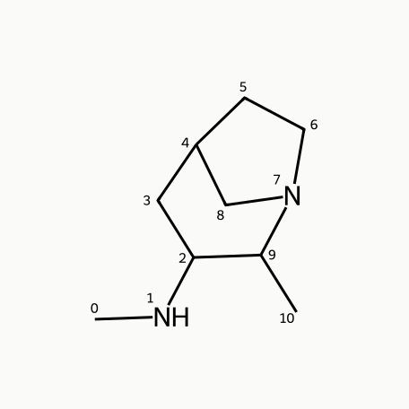 CNC1CC2CCN(C2)C1C